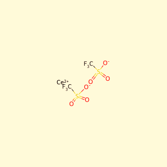 O=S(=O)([O-])C(F)(F)F.O=S(=O)([O-])C(F)(F)F.[Ce+2]